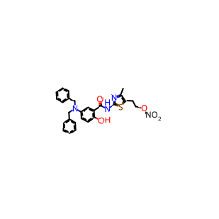 Cc1nc(NC(=O)c2cc(N(Cc3ccccc3)Cc3ccccc3)ccc2O)sc1CCO[N+](=O)[O-]